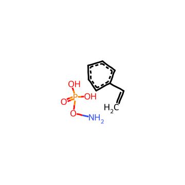 C=Cc1ccccc1.NOP(=O)(O)O